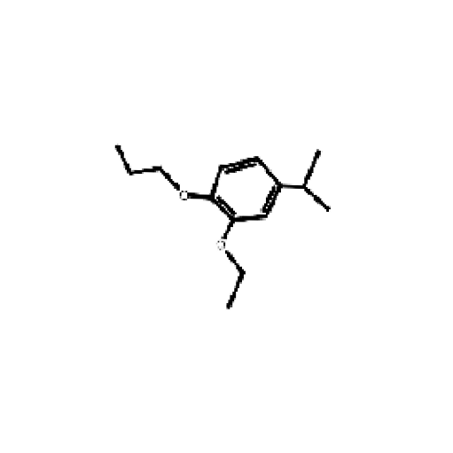 CCCOc1ccc(C(C)C)cc1OCC